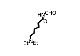 CCN(CC)CCCC=CC(=O)NC=O